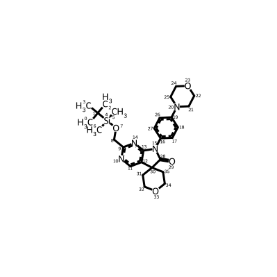 CC(C)(C)[Si](C)(C)OCc1ncc2c(n1)N(c1ccc(N3CCOCC3)cc1)C(=O)C21CCOCC1